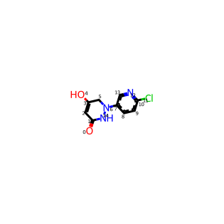 O=C1C=C(O)CN(c2ccc(Cl)nc2)N1